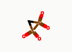 O=S1(=O)CS1(=O)=O